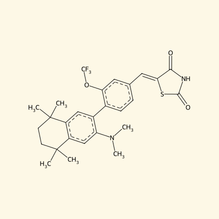 CN(C)c1cc2c(cc1-c1ccc(/C=C3\SC(=O)NC3=O)cc1OC(F)(F)F)C(C)(C)CCC2(C)C